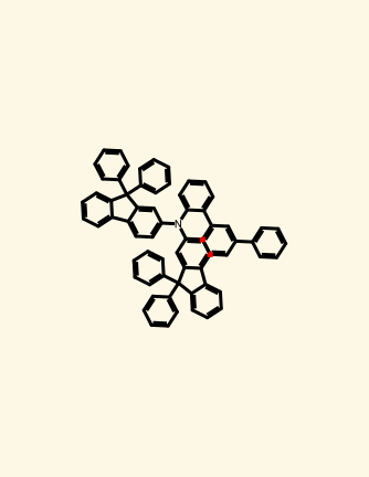 c1ccc(-c2cccc(-c3ccccc3N(c3ccc4c(c3)C(c3ccccc3)(c3ccccc3)c3ccccc3-4)c3ccc4c(c3)C(c3ccccc3)(c3ccccc3)c3ccccc3-4)c2)cc1